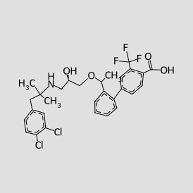 CC(OC[C@H](O)CNC(C)(C)Cc1ccc(Cl)c(Cl)c1)c1ccccc1-c1ccc(C(=O)O)c(C(F)(F)F)c1